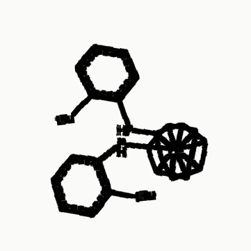 CC(C)(C)c1ccccc1P[C]12[CH]3[CH]4[CH]5[CH]1[Fe]45321678[CH]2[CH]1[CH]6[C]7(Pc1ccccc1C(C)(C)C)[CH]28